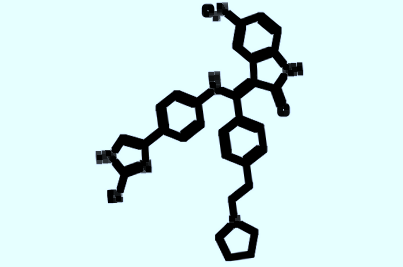 CCc1nc(-c2ccc(NC(=C3C(=O)Nc4ccc([N+](=O)[O-])cc43)c3ccc(CCN4CCCC4)cc3)cc2)c[nH]1